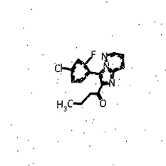 CCCC(=O)c1nc2cccnn2c1-c1ccc(Cl)cc1F